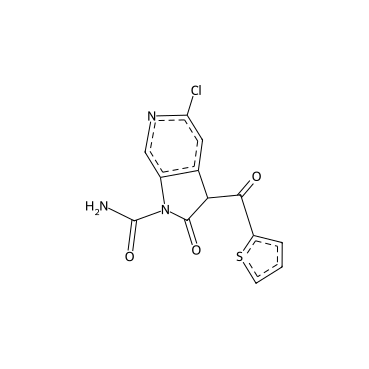 NC(=O)N1C(=O)C(C(=O)c2cccs2)c2cc(Cl)ncc21